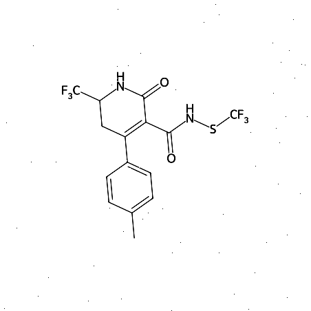 Cc1ccc(C2=C(C(=O)NSC(F)(F)F)C(=O)NC(C(F)(F)F)C2)cc1